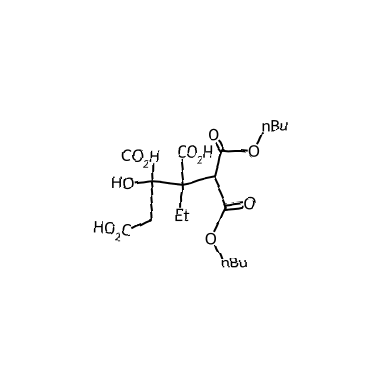 CCCCOC(=O)C(C(=O)OCCCC)C(CC)(C(=O)O)C(O)(CC(=O)O)C(=O)O